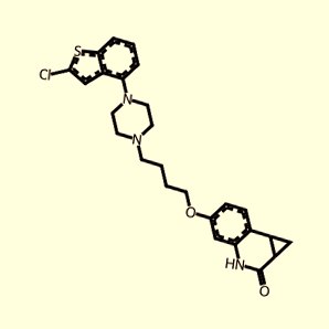 O=C1Nc2cc(OCCCCN3CCN(c4cccc5sc(Cl)cc45)CC3)ccc2C2CC12